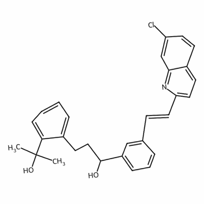 CC(C)(O)c1ccccc1CCC(O)c1cccc(C=Cc2ccc3ccc(Cl)cc3n2)c1